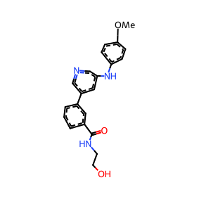 COc1ccc(Nc2cncc(-c3cccc(C(=O)NCCO)c3)c2)cc1